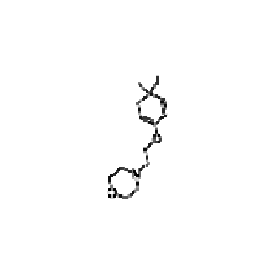 CC1(I)C=CC(OCCN2CCOCC2)=CC1